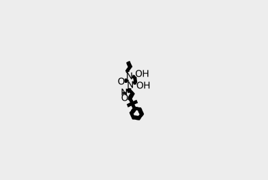 C=CCN1C(=O)N(c2cc(C(C)(C)c3ccccc3)on2)C(O)C1O